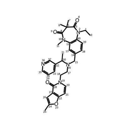 CCN1C(=O)C(C)(C)C(=O)N(C)c2cc(CN(CCn3ccc4oc(C)cc4c3=O)C(C)c3cccnc3)ccc21